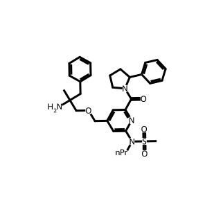 CCCN(c1cc(COCC(C)(N)Cc2ccccc2)cc(C(=O)N2CCCC2c2ccccc2)n1)S(C)(=O)=O